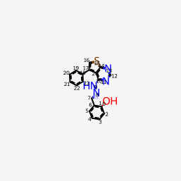 Oc1ccccc1/C=N/Nc1ncnc2scc(-c3ccccc3)c12